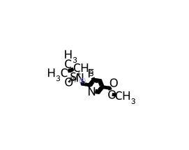 COC(=O)c1cnc(/C=N/[S@@+]([O-])C(C)(C)C)c(F)c1